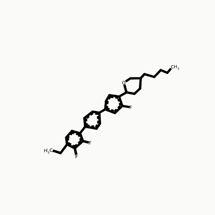 CCCCCC1CCC(c2ccc(-c3ccc(-c4ccc(CC)c(F)c4F)cc3)cc2F)OC1